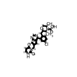 Cc1cc(Cl)cc(-c2ncnn3cc(Cn4c(=O)cc[nH]c4=O)cc23)c1CC1CN(C(=O)O)[C@@H](C)CO1